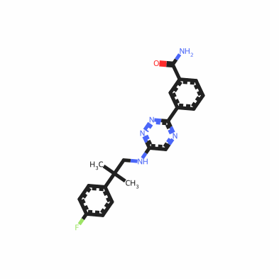 CC(C)(CNc1cnc(-c2cccc(C(N)=O)c2)nn1)c1ccc(F)cc1